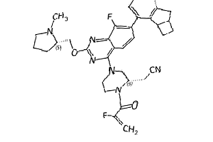 C=C(F)C(=O)N1CCN(c2nc(OC[C@@H]3CCCN3C)nc3c(F)c(-c4cccc5c4C4CCC4C5)ccc23)C[C@@H]1CC#N